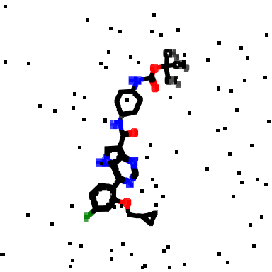 CC(C)(C)OC(=O)N[C@H]1CC[C@H](NC(=O)c2c[nH]c3c(-c4ccc(F)cc4OCC4CC4)ncnc23)CC1